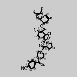 Cc1nc2c(OCc3c(Cl)ccc(S(=O)(=O)N4CCCC4C(=O)N4CCN(C(=O)c5ccc(C#N)cc5)CC4)c3Cl)cccn2c1C